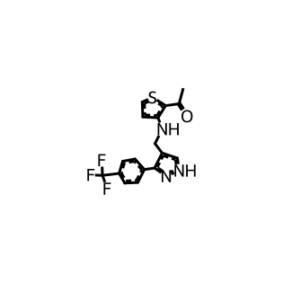 CC(=O)c1sccc1NCc1c[nH]nc1-c1ccc(C(F)(F)F)cc1